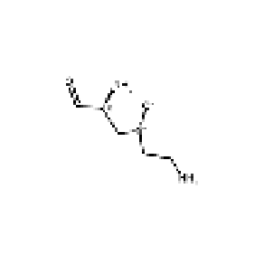 NCC[S+]([O-])C[C@H](N)[C]=O